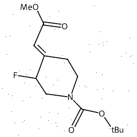 COC(=O)C=C1CCN(C(=O)OC(C)(C)C)CC1F